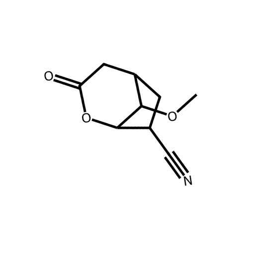 COC1C2CC(=O)OC1C(C#N)C2